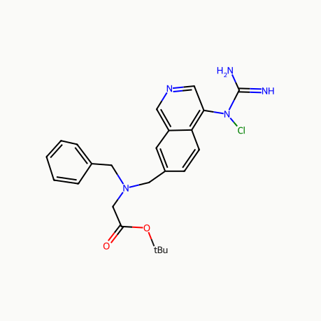 CC(C)(C)OC(=O)CN(Cc1ccccc1)Cc1ccc2c(N(Cl)C(=N)N)cncc2c1